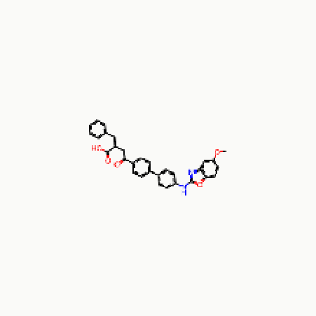 COc1ccc2oc(Nc3ccc(-c4ccc(C(=O)CC(Cc5ccccc5)C(=O)O)cc4)cc3)nc2c1